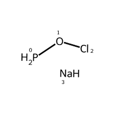 POCl.[NaH]